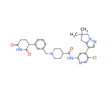 CC1(C)Cc2c(-c3cc(NC(=O)C4CCN(Cc5cccc(C6CCC(=O)NC6=O)c5)CC4)ncc3Cl)cnn2C1